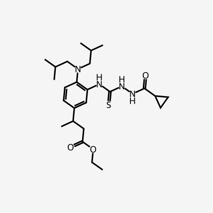 CCOC(=O)CC(C)c1ccc(N(CC(C)C)CC(C)C)c(NC(=S)NNC(=O)C2CC2)c1